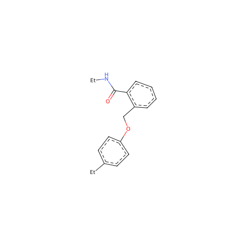 CCNC(=O)c1ccccc1COc1ccc(CC)cc1